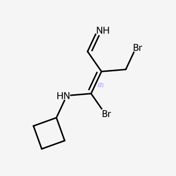 N=C/C(CBr)=C(/Br)NC1CCC1